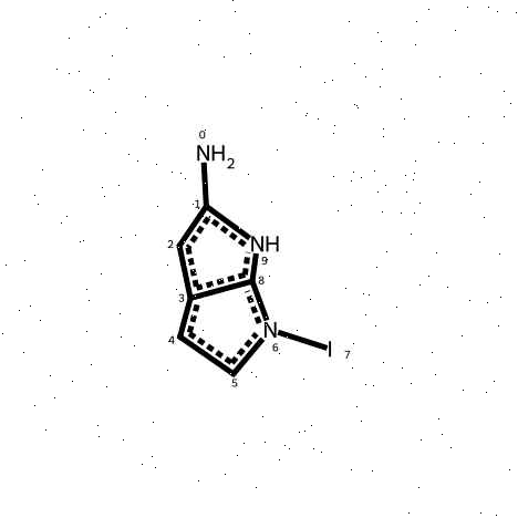 Nc1cc2ccn(I)c2[nH]1